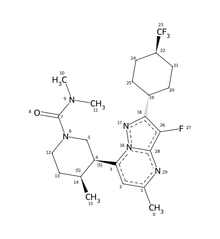 Cc1cc([C@@H]2CN(C(=O)N(C)C)CC[C@@H]2C)n2nc([C@H]3CC[C@H](C(F)(F)F)CC3)c(F)c2n1